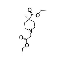 CCOC(=O)CN1CCC(C)(C(=O)OCC)CC1